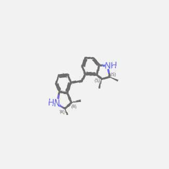 C[C@@H]1Nc2cccc(Cc3cccc4c3[C@@H](C)[C@@H](C)N4)c2[C@@H]1C